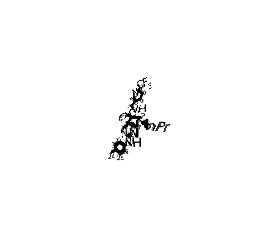 CCCn1cc(C(=O)NCc2ccc(C(F)(F)F)nc2)c2cnc(Nc3ccc(C)cc3)nc21